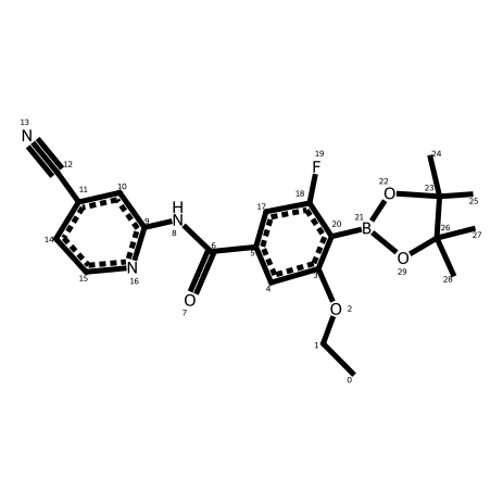 CCOc1cc(C(=O)Nc2cc(C#N)ccn2)cc(F)c1B1OC(C)(C)C(C)(C)O1